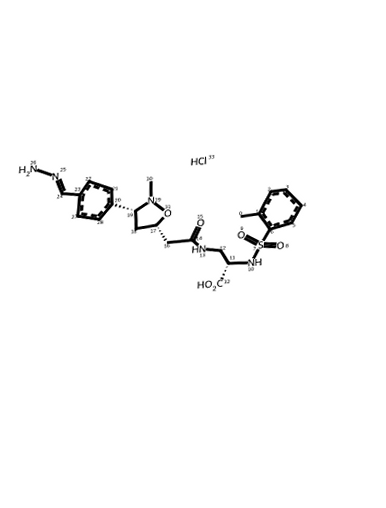 Cc1ccccc1S(=O)(=O)N[C@@H](CNC(=O)C[C@@H]1C[C@H](c2ccc(C=NN)cc2)N(C)O1)C(=O)O.Cl